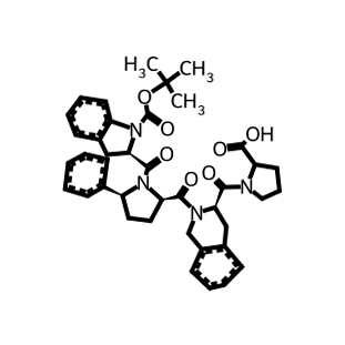 CC(C)(C)OC(=O)N1c2ccccc2C[C@@H]1C(=O)N1[C@@H](C(=O)N2Cc3ccccc3C[C@@H]2C(=O)N2CCCC2C(=O)O)CC[C@H]1c1ccccc1